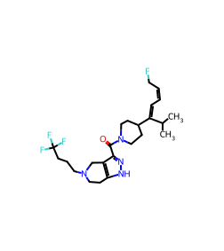 CC(C)/C(=C\C=C/CF)C1CCN(C(=O)c2n[nH]c3c2CN(CCCC(F)(F)F)CC3)CC1